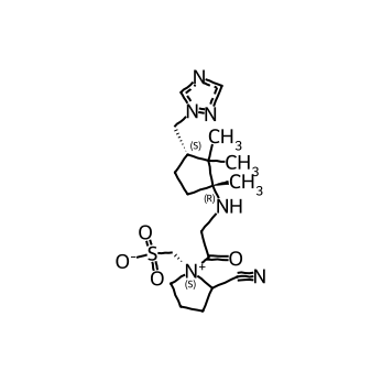 CC1(C)[C@@H](Cn2cncn2)CC[C@@]1(C)NCC(=O)[N@+]1(CS(=O)(=O)[O-])CCCC1C#N